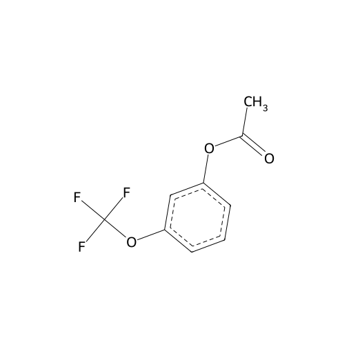 CC(=O)Oc1cccc(OC(F)(F)F)c1